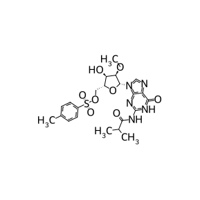 CO[C@@H]1[C@H](O)[C@@H](COS(=O)(=O)c2ccc(C)cc2)O[C@H]1n1cnc2c(=O)[nH]c(NC(=O)C(C)C)nc21